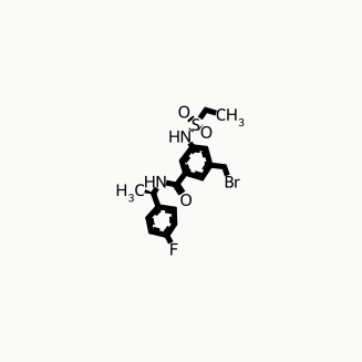 CCS(=O)(=O)Nc1cc(CBr)cc(C(=O)N[C@H](C)c2ccc(F)cc2)c1